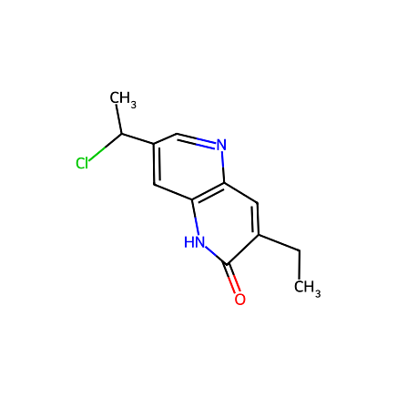 CCc1cc2ncc(C(C)Cl)cc2[nH]c1=O